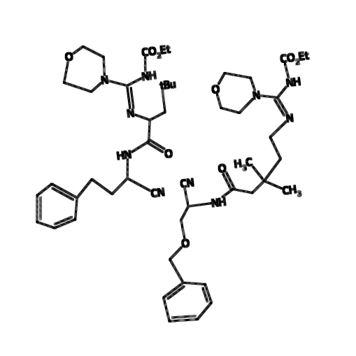 CCOC(=O)NC(=NC(CC(C)(C)C)C(=O)NC(C#N)CCc1ccccc1)N1CCOCC1.CCOC(=O)NC(=NCCC(C)(C)CC(=O)NC(C#N)COCc1ccccc1)N1CCOCC1